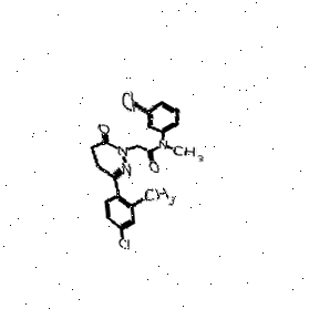 Cc1cc(Cl)ccc1C1=NN(CC(=O)N(C)c2cccc(Cl)c2)C(=O)CC1